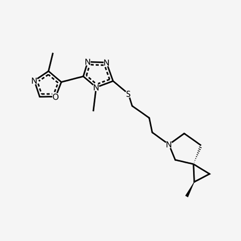 Cc1ncoc1-c1nnc(SCCCN2CC[C@@]3(C[C@H]3C)C2)n1C